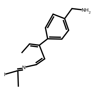 CC=C(/C=C\N=C(/C)I)c1ccc(CN)cc1